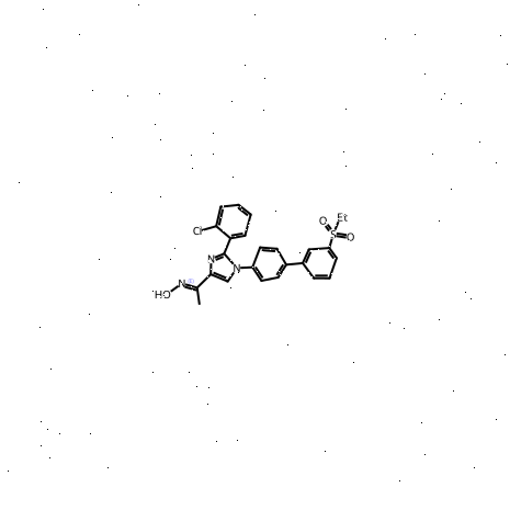 CCS(=O)(=O)c1cccc(-c2ccc(-n3cc(/C(C)=N/O)nc3-c3ccccc3Cl)cc2)c1